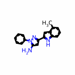 Cc1cccc2[nH]c(-c3cc(N)n(-c4ccccc4)n3)cc12